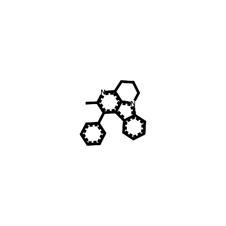 Cc1nc2c3c(c1-c1ccccc1)c1ccccc1n3CCC2